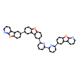 c1cc(-c2ccc3oc4ccc(-c5ccc6oc7ncccc7c6c5)cc4c3c2)nc(-c2cccc(-c3ccc4oc5ncccc5c4c3)n2)c1